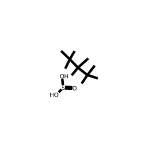 CC(C)(C)C(C)(C)C(C)(C)C.O=S(O)O